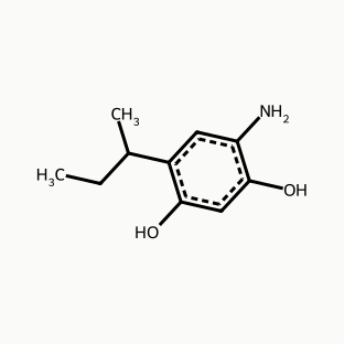 CCC(C)c1cc(N)c(O)cc1O